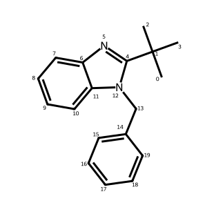 CC(C)(C)c1nc2ccccc2n1Cc1ccccc1